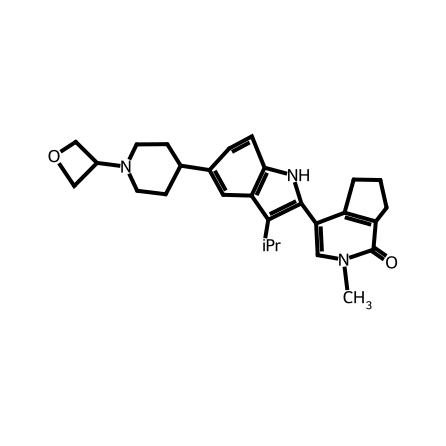 CC(C)c1c(-c2cn(C)c(=O)c3c2CCC3)[nH]c2ccc(C3CCN(C4COC4)CC3)cc12